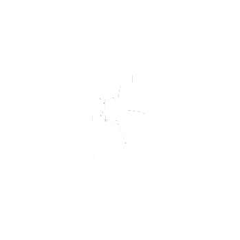 Cc1n[nH]c(CC(=O)O)c1Cl